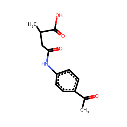 CC(=O)c1ccc(NC(=O)CC(C)C(=O)O)cc1